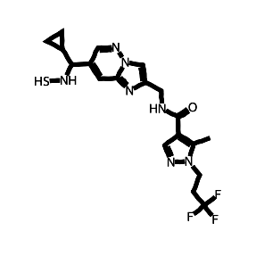 Cc1c(C(=O)NCc2cn3ncc(C(NS)C4CC4)cc3n2)cnn1CCC(F)(F)F